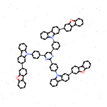 c1cc(-c2cc(-c3ccc(-n4c5ccccc5c5ccc(-c6ccc7c(c6)oc6ccccc67)cc54)cc3)nc(-c3ccc(-n4c5ccccc5c5ccc(-c6ccc7c(c6)oc6ccccc67)cc54)cc3)n2)cc(-n2c3ccccc3c3ccc(-c4ccc5c(c4)oc4ccccc45)cc32)c1